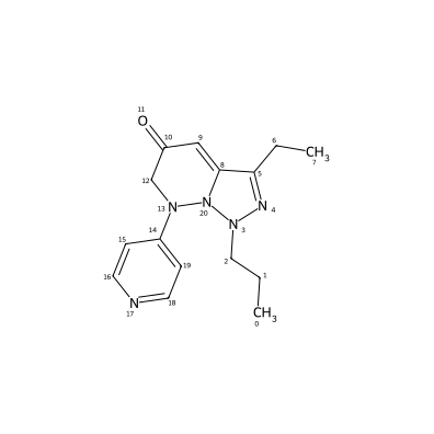 CCCN1N=C(CC)C2=CC(=O)CN(c3ccncc3)N21